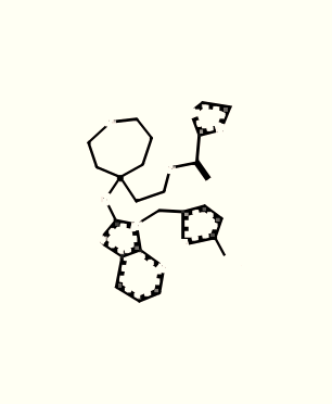 Cc1ccc(Cn2c(NC3(CCNC(=O)c4nccs4)CCCNCC3)nc3cccnc32)o1